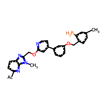 CC(=O)c1ccc2nc(COc3cc(-c4cccc(OCc5ccc(C)cc5P)c4)ccn3)n(C)c2n1